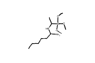 CCCCCC(N)NC(C)[Si](OC)(OC)OC